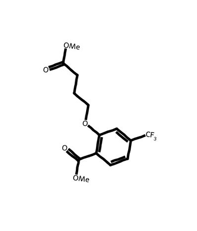 COC(=O)CCCOc1cc(C(F)(F)F)ccc1C(=O)OC